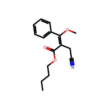 CCCCOC(=O)C(CC#N)=C(OC)c1ccccc1